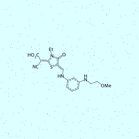 CCn1c(=C(C#N)C(=O)O)sc(=CNc2cccc(NCCOC)c2)c1=O